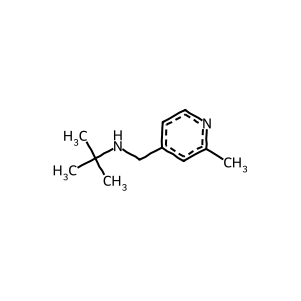 Cc1cc(CNC(C)(C)C)ccn1